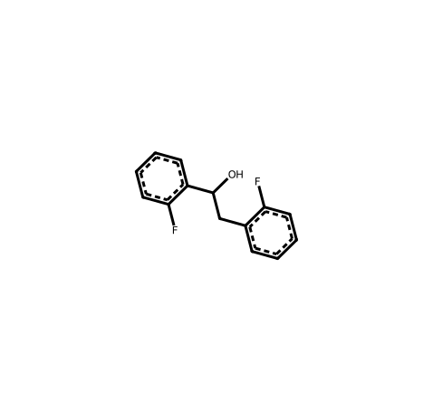 OC(Cc1ccccc1F)c1ccccc1F